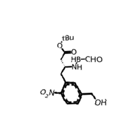 CC(C)(C)OC(=O)C[C@@H](Cc1cc(CO)ccc1[N+](=O)[O-])NBC=O